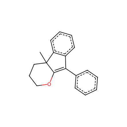 CC12CCCOC1=C(c1ccccc1)c1ccccc12